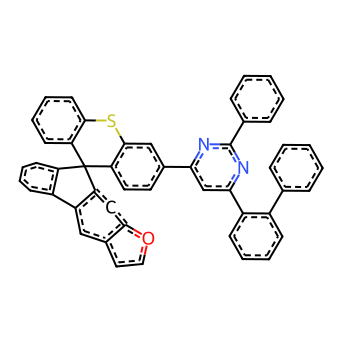 c1ccc(-c2nc(-c3ccc4c(c3)Sc3ccccc3C43c4ccccc4-c4cc5ccoc5cc43)cc(-c3ccccc3-c3ccccc3)n2)cc1